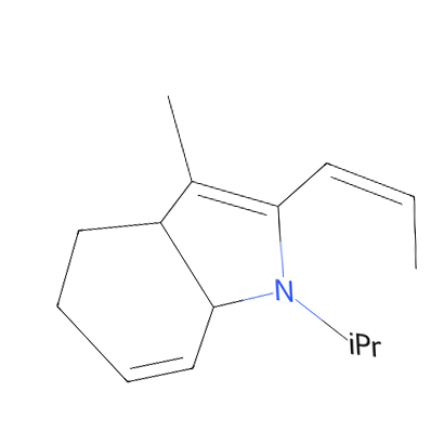 C/C=C\C1=C(C)C2CCC=CC2N1C(C)C